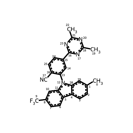 Cc1ccc2c3ccc(C(F)(F)F)cc3n(-c3cc(-c4nc(C)nc(C)n4)ccc3C#N)c2c1